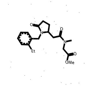 CCc1ccccc1CN1C(=O)CCC1CC(=O)N(C)CC(=O)OC